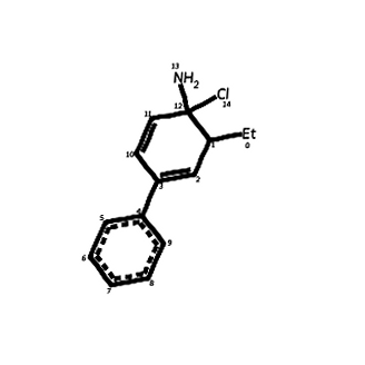 CCC1C=C(c2ccccc2)C=CC1(N)Cl